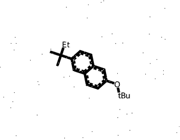 CCC(C)(C)c1ccc2cc(OC(C)(C)C)ccc2c1